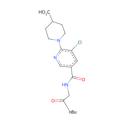 CCCCC(=O)CNC(=O)c1cnc(N2CCC(C(=O)O)CC2)c(Cl)c1